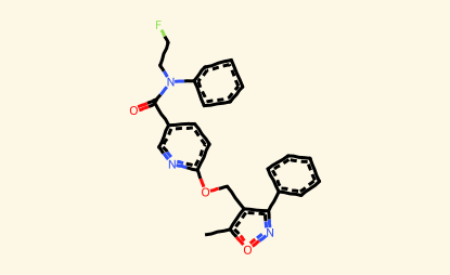 Cc1onc(-c2ccccc2)c1COc1ccc(C(=O)N(CCF)c2ccccc2)cn1